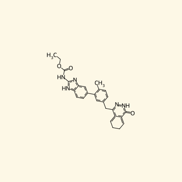 CCOC(=O)Nc1nc2cc(-c3cc(Cc4n[nH]c(=O)c5c4=CCCC=5)ccc3C)ccc2[nH]1